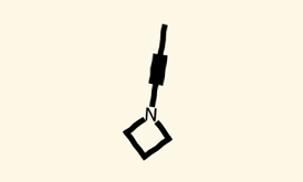 CC#CN1CCC1